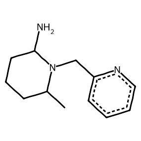 CC1CCCC(N)N1Cc1ccccn1